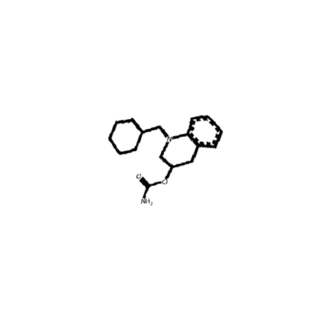 NC(=O)OC1Cc2ccccc2N(CC2CCCCC2)C1